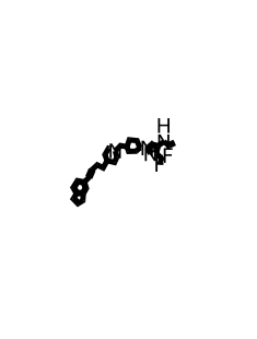 C=CNc1cn(C2CCC(CN3CCC(CCC#Cc4ccc5c(c4)CC=C5)CC3)CC2)nc1C(F)F